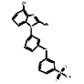 CCCc1nc2c(C(F)(F)F)cccc2n1-c1cccc(Oc2cccc(S(C)(=O)=O)c2)c1